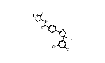 O=C1NOCC1NC(=S)c1ccc(C2=NCC(c3cc(Cl)cc(Cl)c3)(C(F)(F)F)C2)cc1